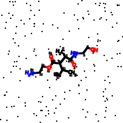 CC(C(=O)NCCO)C(C(=O)OCCN)C(C)C(C)(C)C